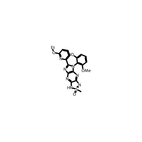 CCOC1=NC(c2nc3nc4c(nc3n2-c2c(O)cccc2OC)N=S(C)(=O)N4)=C=C=C1